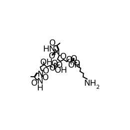 Cc1cn(C2CC(O)C(COP(=O)(O)OC3CC(n4cc(C)c(=O)[nH]c4=O)OC3COP(=O)(O)OCCCCCCN)O2)c(=O)[nH]c1=O